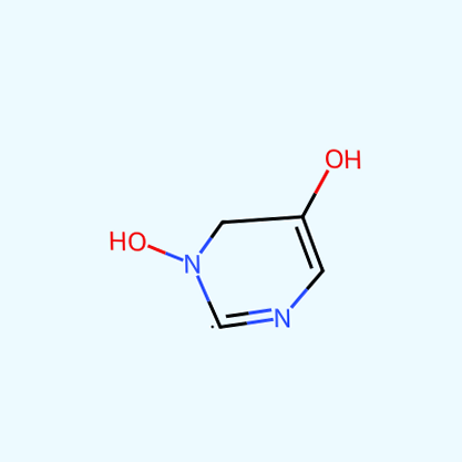 OC1=CN=[C]N(O)C1